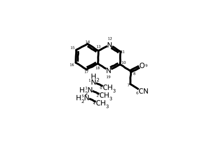 CN.CN.CN.N#CCC(=O)c1cnc2ccccc2n1